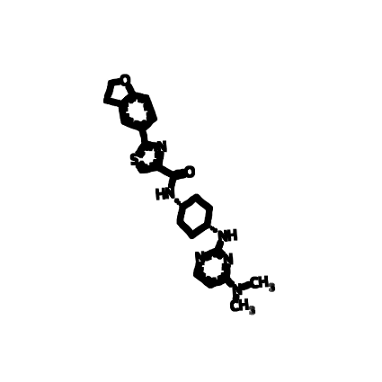 CN(C)c1ccnc(N[C@H]2CC[C@@H](NC(=O)c3csc(-c4ccc5c(c4)CCO5)n3)CC2)n1